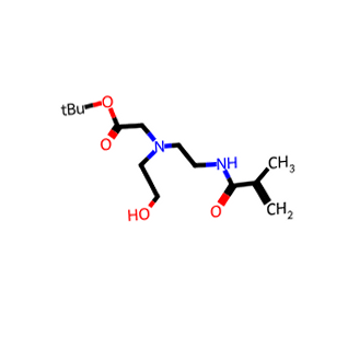 C=C(C)C(=O)NCCN(CCO)CC(=O)OC(C)(C)C